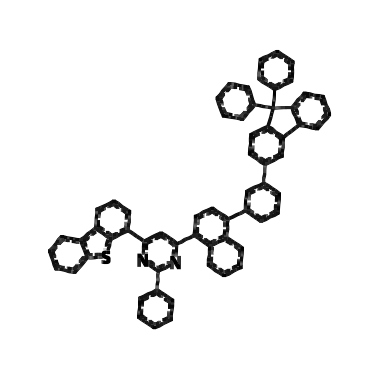 c1ccc(-c2nc(-c3ccc(-c4cccc(-c5ccc6c(c5)-c5ccccc5C6(c5ccccc5)c5ccccc5)c4)c4ccccc34)cc(-c3cccc4c3sc3ccccc34)n2)cc1